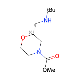 COC(=O)N1CCO[C@H](CNC(C)(C)C)C1